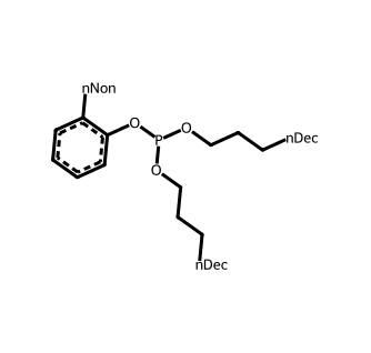 CCCCCCCCCCCCCOP(OCCCCCCCCCCCCC)Oc1ccccc1CCCCCCCCC